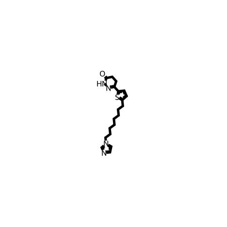 O=C1CCC(c2ccc(CCCCCCCCn3ccnc3)s2)=NN1